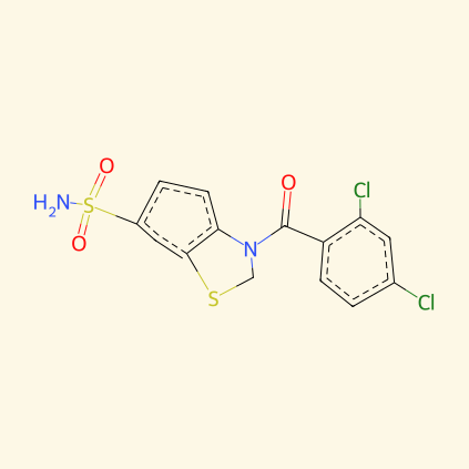 NS(=O)(=O)c1ccc2c(c1)SCN2C(=O)c1ccc(Cl)cc1Cl